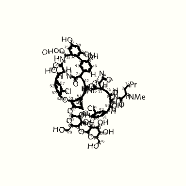 CN[C@H](CC(C)C)C(=O)N[C@H]1C(=O)C[C@@H](CC(N)=O)C(=O)N[C@H]2C(=O)CC3C(=O)N[C@H](C(=O)N[C@@H](OC=O)c4cc(O)cc(O)c4-c4cc3ccc4O)C(O)c3ccc(c(Cl)c3)Oc3cc2cc(c3OC2O[C@H](CO)[C@@H](OC3O[C@H](CO)[C@@H](O)[C@H](O)[C@H]3O)[C@H](O)[C@H]2O)Oc2ccc(cc2Cl)[C@H]1O